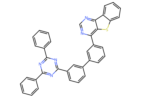 c1ccc(-c2nc(-c3ccccc3)nc(-c3cccc(-c4cccc(-c5ncnc6c5sc5ccccc56)c4)c3)n2)cc1